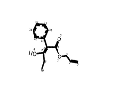 C=CCOC(=O)C(=C(O)CC)c1ccccc1